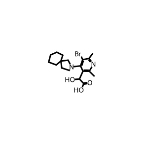 Cc1nc(C)c(C(O)C(=O)O)c(N2CCC3(CCCCC3)C2)c1Br